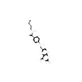 Nc1nc2ncc(CNc3ccc(C(=O)NCCCC=O)cc3)nc2c(=O)[nH]1